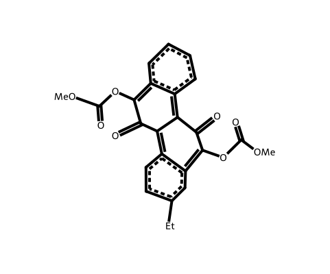 CCc1ccc2c(c1)=C(OC(=O)OC)C(=O)C1=c3ccccc3=C(OC(=O)OC)C(=O)C=21